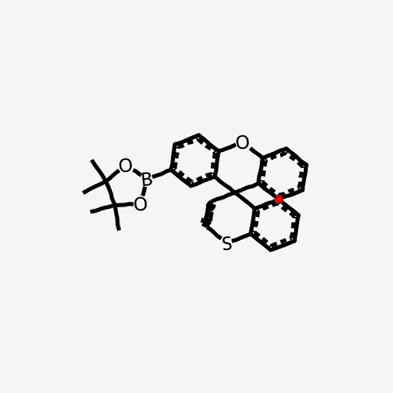 CC1(C)OB(c2ccc3c(c2)C2(c4ccccc4O3)c3ccccc3Sc3ccccc32)OC1(C)C